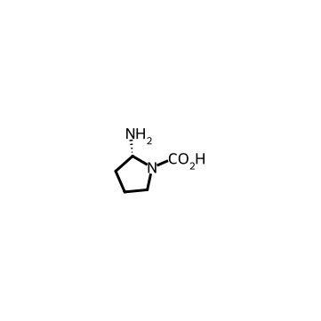 N[C@H]1CCCN1C(=O)O